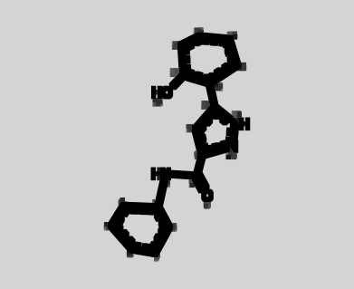 O=C(Nc1ccccc1)c1cc(-c2ccccc2O)[nH]n1